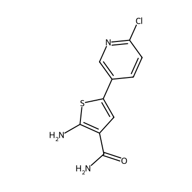 NC(=O)c1cc(-c2ccc(Cl)nc2)sc1N